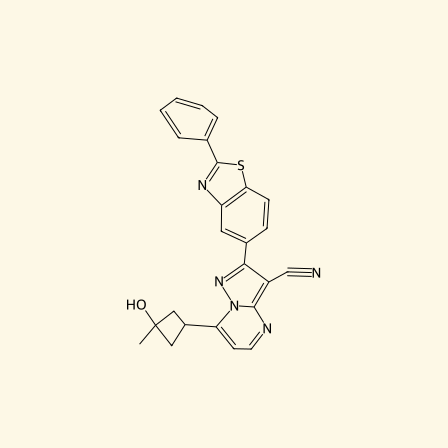 CC1(O)CC(c2ccnc3c(C#N)c(-c4ccc5sc(-c6ccccc6)nc5c4)nn23)C1